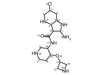 NC1NN2CC(Cl)CNC2C1C(=O)NC1CNCCC1OC1CNC1